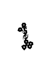 c1ccc(N(c2ccc(-c3cnc(-c4ccc(-c5nc6ccccc6n5-c5ccccc5)nc4)cn3)cc2)c2cccc3ccccc23)cc1